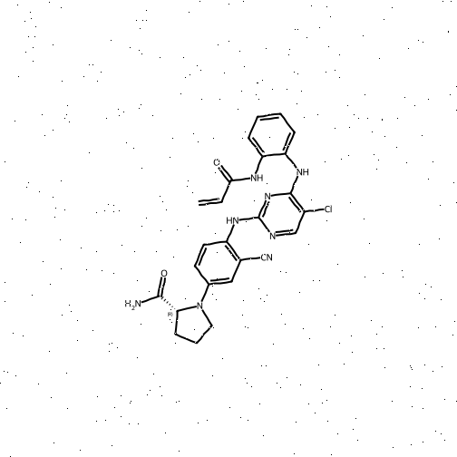 C=CC(=O)Nc1ccccc1Nc1nc(Nc2ccc(N3CCC[C@@H]3C(N)=O)cc2C#N)ncc1Cl